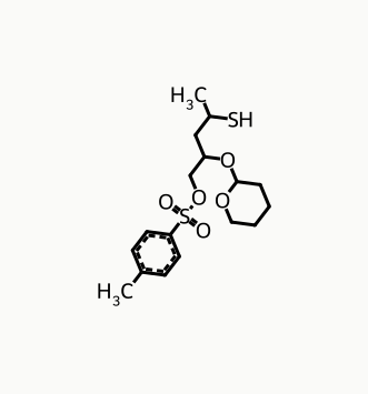 Cc1ccc(S(=O)(=O)OCC(CC(C)S)OC2CCCCO2)cc1